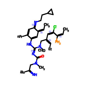 C/C=C1/C=C(N/C(=N/C(=O)N(C)CC(=N)C(C)CC)N(C=O)CC(=C\CC)/C=C(Cl)\C(P)=C/C)C(CCC)=C/C1=N/CCC1CC1